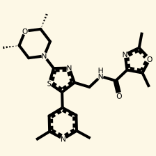 Cc1cc(-c2sc(N3C[C@@H](C)O[C@@H](C)C3)nc2CNC(=O)c2nc(C)oc2C)cc(C)n1